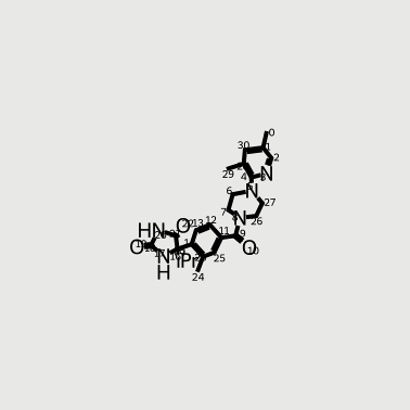 Cc1cnc(N2CCN(C(=O)c3ccc([C@@]4(C(C)C)NC(=O)NC4=O)c(C)c3)CC2)c(C)c1